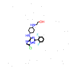 OCCNC1CCC(Nc2nc(-c3c(F)cccc3F)nn3c(Cl)cnc23)CC1